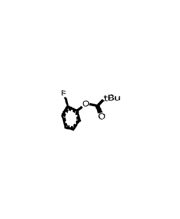 CC(C)(C)C(=O)Oc1ccccc1F